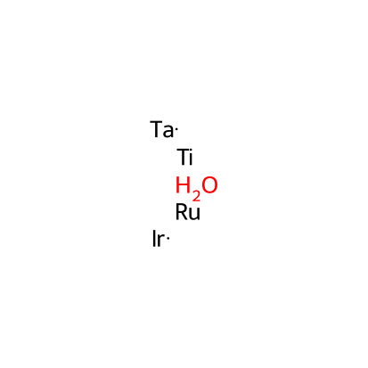 O.[Ir].[Ru].[Ta].[Ti]